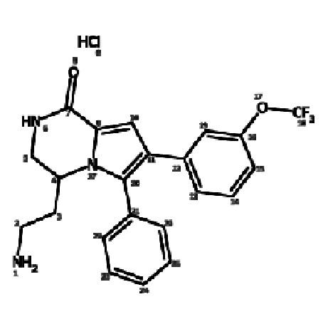 Cl.NCCC1CNC(=O)c2cc(-c3cccc(OC(F)(F)F)c3)c(-c3ccccc3)n21